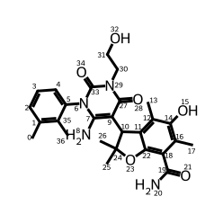 Cc1cccc(-n2c(N)c(C3c4c(C)c(O)c(C)c(C(N)=O)c4OC3(C)C)c(=O)n(CCO)c2=O)c1C